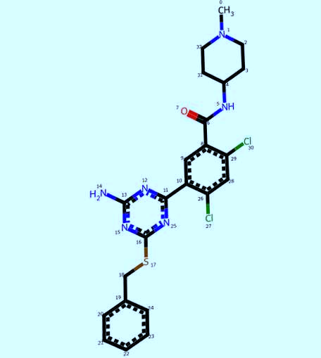 CN1CCC(NC(=O)c2cc(-c3nc(N)nc(SCc4ccccc4)n3)c(Cl)cc2Cl)CC1